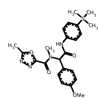 COc1ccc(C(C(=O)Nc2ccc(S(C)(C)C)cc2)N(C)C(=O)c2nnc(C)o2)cc1